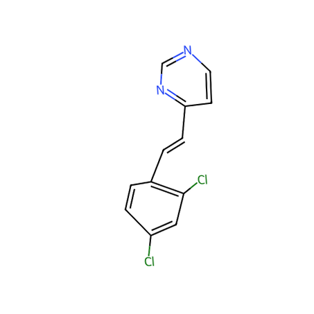 Clc1ccc(C=Cc2ccncn2)c(Cl)c1